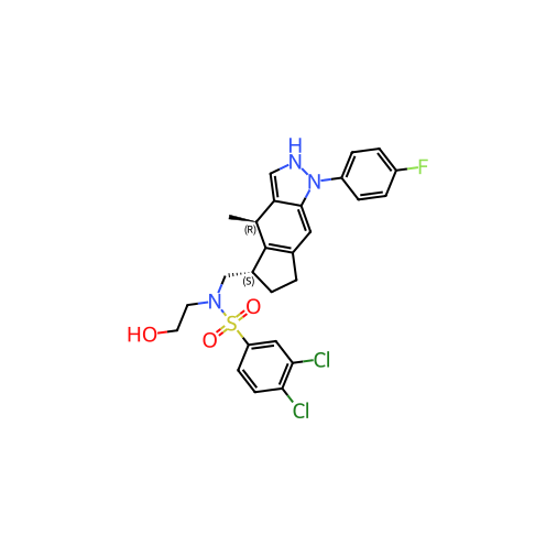 C[C@H]1C2=CNN(c3ccc(F)cc3)C2=CC2=C1[C@@H](CN(CCO)S(=O)(=O)c1ccc(Cl)c(Cl)c1)CC2